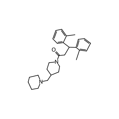 Cc1ccccc1C(CC(=O)N1CCC(CN2CCCCC2)CC1)c1ccccc1C